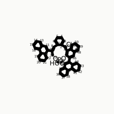 C=C1c2ccccc2/C=C(/c2cc3ccccc3c3ccccc23)COP(=O)(O)Oc2c(-c3cc4ccccc4c4ccccc34)cc3ccccc3c21